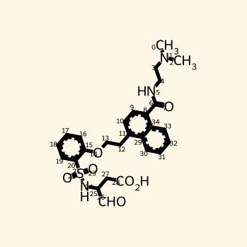 CN(C)CCNC(=O)c1ccc(CCOc2ccccc2S(=O)(=O)NC(C=O)CC(=O)O)c2ccccc12